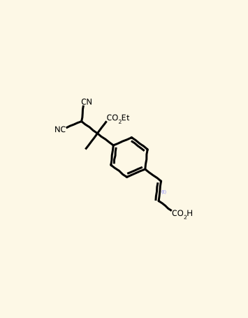 CCOC(=O)C(C)(c1ccc(/C=C/C(=O)O)cc1)C(C#N)C#N